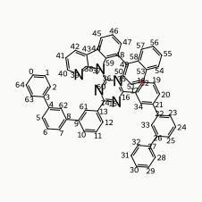 c1ccc(-c2cccc(-c3cccc(-c4nc(-c5cccc(-c6cccc(-c7ccccc7)c6)c5)nc(-n5c6ncccc6c6cccc(-c7cccc8ccccc78)c65)n4)c3)c2)cc1